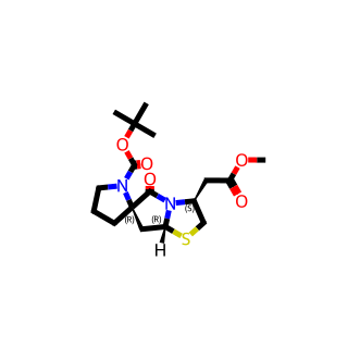 COC(=O)C[C@H]1CS[C@@H]2C[C@]3(CCCN3C(=O)OC(C)(C)C)C(=O)N12